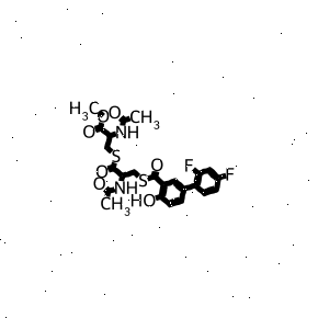 COC(=O)C(CSC(=O)C(CSC(=O)c1cc(-c2ccc(F)cc2F)ccc1O)NC(C)=O)NC(C)=O